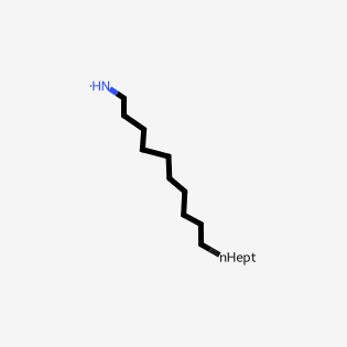 CCCCCCCCCCCCCCCCC[NH]